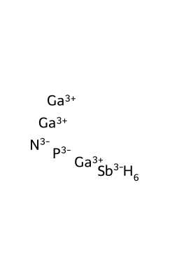 [Ga+3].[Ga+3].[Ga+3].[N-3].[P-3].[SbH6-3]